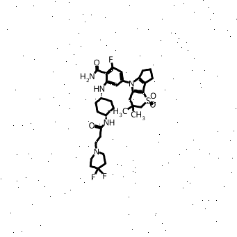 CC1(C)Cc2c(c3c(n2-c2cc(F)c(C(N)=O)c(N[C@H]4CC[C@H](NC(=O)CCN5CCC(F)(F)CC5)CC4)c2)CCC3)S(=O)(=O)C1